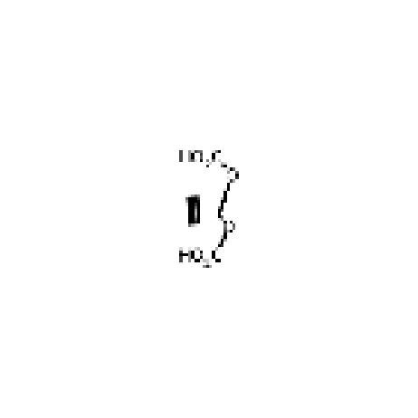 C#C.O=C(O)OCOC(=O)O